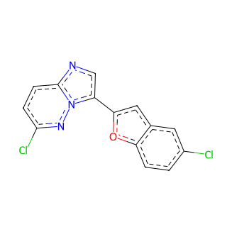 Clc1ccc2oc(-c3cnc4ccc(Cl)nn34)cc2c1